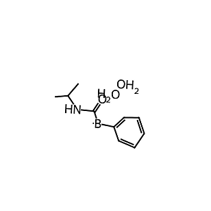 CC(C)NC(=O)[B]c1ccccc1.O.O